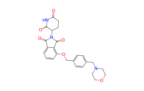 O=C1CCC(N2C(=O)c3cccc(OCc4ccc(CN5CCOCC5)cc4)c3C2=O)C(=O)N1